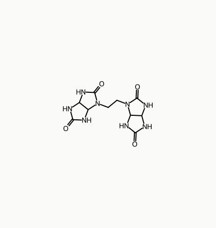 O=C1NC2NC(=O)N(CCN3C(=O)NC4NC(=O)NC43)C2N1